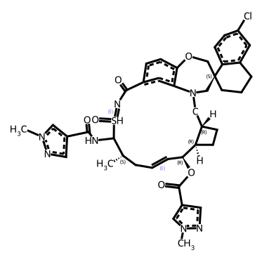 C[C@H]1C/C=C/[C@H](OC(=O)c2cnn(C)c2)[C@@H]2CC[C@H]2CN2C[C@@]3(CCCc4cc(Cl)ccc43)COc3ccc(cc32)C(=O)/N=[SH](=O)\C1NC(=O)c1cnn(C)c1